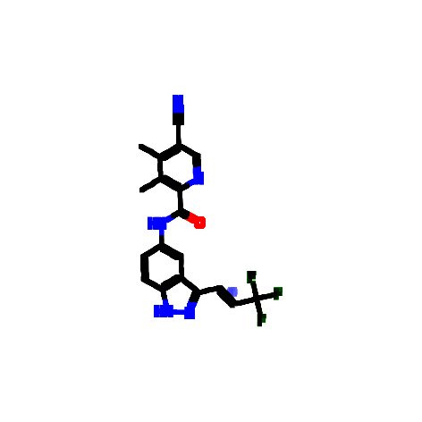 Cc1c(C#N)cnc(C(=O)Nc2ccc3[nH]nc(/C=C/C(F)(F)F)c3c2)c1C